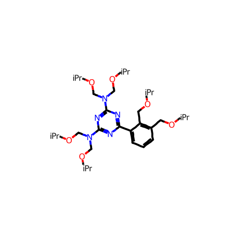 CC(C)OCc1cccc(-c2nc(N(COC(C)C)COC(C)C)nc(N(COC(C)C)COC(C)C)n2)c1COC(C)C